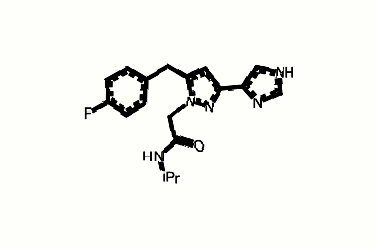 CC(C)NC(=O)Cn1nc(-c2c[nH]cn2)cc1Cc1ccc(F)cc1